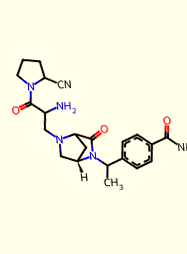 CNC(=O)c1ccc(C(C)N2C(=O)C3C[C@H]2CN3CC(N)C(=O)N2CCCC2C#N)cc1